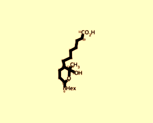 CCCCCCC1CCC(CCCCCCC(=O)O)C(C)(O)O1